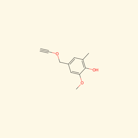 C#COCc1cc(C)c(O)c(OC)c1